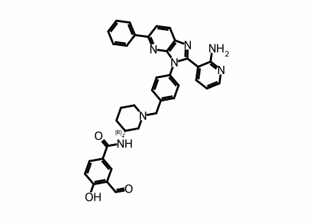 Nc1ncccc1-c1nc2ccc(-c3ccccc3)nc2n1-c1ccc(CN2CCC[C@@H](NC(=O)c3ccc(O)c(C=O)c3)C2)cc1